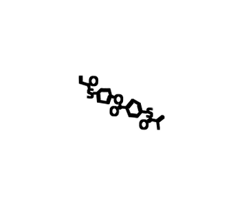 C=CC(=O)Sc1ccc(OC(=O)c2ccc(SC(=O)C(=C)C)cc2)cc1